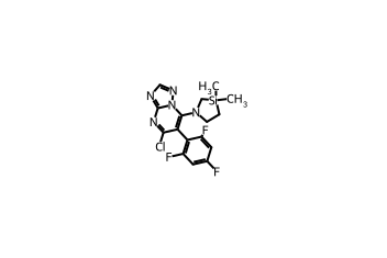 C[Si]1(C)CCN(c2c(-c3c(F)cc(F)cc3F)c(Cl)nc3ncnn23)C1